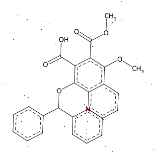 COC(=O)c1c(C(=O)O)c(OC(c2ccccc2)c2ccccc2)c2ncccc2c1OC